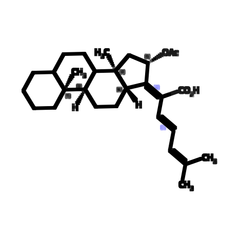 CC(=O)O[C@H]1C[C@]2(C)C3CCC4CCCC[C@]4(C)[C@@H]3CC[C@H]2/C1=C(\C=C\C=C(C)C)C(=O)O